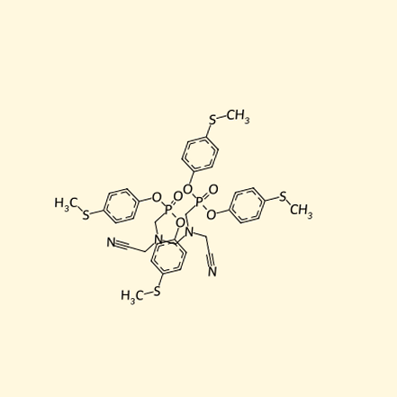 CSc1ccc(OP(=O)(CN(CC#N)CN(CC#N)CP(=O)(Oc2ccc(SC)cc2)Oc2ccc(SC)cc2)Oc2ccc(SC)cc2)cc1